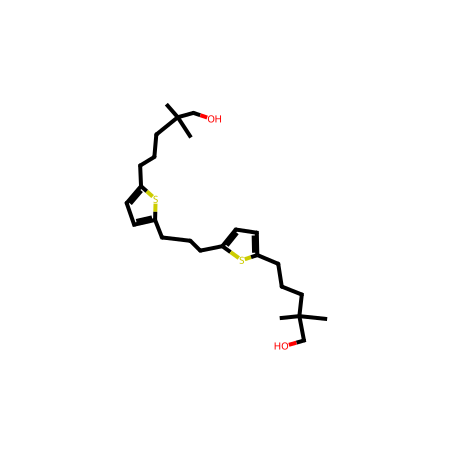 CC(C)(CO)CCCc1ccc(CCCc2ccc(CCCC(C)(C)CO)s2)s1